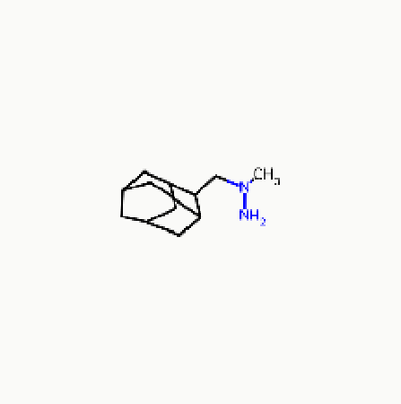 CN(N)CC1C2CC3CC(C2)CC1C3